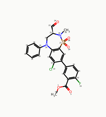 COC(=O)c1cc(-c2cc3c(cc2Cl)N(c2ccccc2)C[C@@H](C=O)N(C)S3(=O)=O)ccc1F